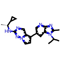 Cc1nc2ncc(-c3ccn4nc(N[C@H](C)C5CC5)ncc34)cc2n1C(C)C